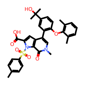 Cc1ccc(S(=O)(=O)n2c(C(=O)O)cc3c(-c4cc(C(C)(C)O)ccc4Oc4c(C)cccc4C)cn(C)c(=O)c32)cc1